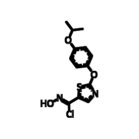 CC(C)Oc1ccc(Oc2ncc(C(Cl)=NO)s2)cc1